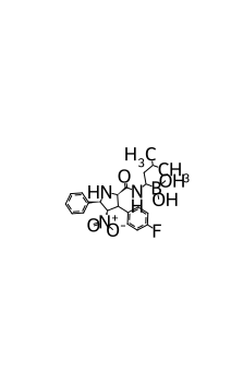 CC(C)CC(NC(=O)[C@@H]1N[C@H](c2ccccc2)[C@H]([N+](=O)[O-])C1c1ccc(F)cc1)B(O)O